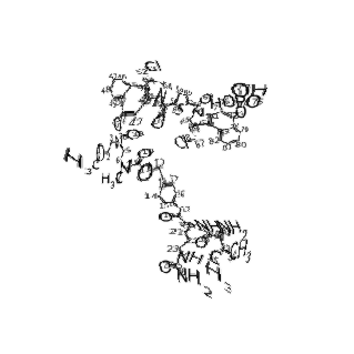 COCCN(CCN(C)C(=O)OCc1ccc(CC(=O)[C@H](CCCNC(N)=O)NC(=O)[C@@H](N)C(C)C)cc1)C(=O)Oc1cc2c(c3ccccc13)[C@H](CCl)CN2C(=O)c1ccc(C(=O)N2C[C@@H](CCl)c3c2cc(OP(=O)(O)O)c2ccccc32)s1